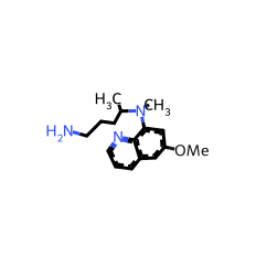 COc1cc(N(C)C(C)CCCN)c2ncccc2c1